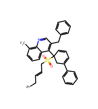 CC(C)CC=CCS(=O)(=O)C1(c2c(Cc3ccccc3)cnc3c(C(F)(F)F)cccc23)C=CC=C(c2ccccc2)C1